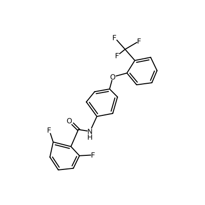 O=C(Nc1ccc(Oc2ccccc2C(F)(F)F)cc1)c1c(F)cccc1F